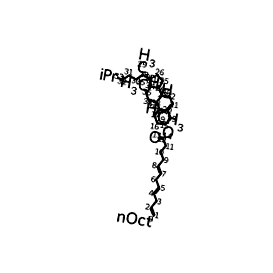 CCCCCCCC/C=C/C/C=C/C/C=C/CCCC(=O)O[C@H]1CC[C@@]2(C)C(=CC[C@H]3[C@@H]4CC[C@H]([C@H](C)CCCC(C)C)[C@@]4(C)CC[C@@H]32)C1